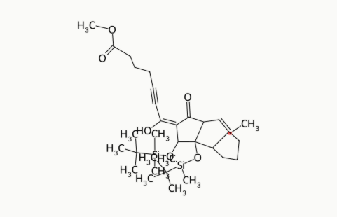 CC=CC1C(=O)C(=C(O)C#CCCCC(=O)OC)C(O[Si](C)(C)C(C)(C)C)C1(O[Si](C)(C)C(C)(C)C)C1CCCC1